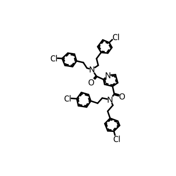 O=C(c1ccnc(C(=O)N(CCc2ccc(Cl)cc2)CCc2ccc(Cl)cc2)c1)N(CCc1ccc(Cl)cc1)CCc1ccc(Cl)cc1